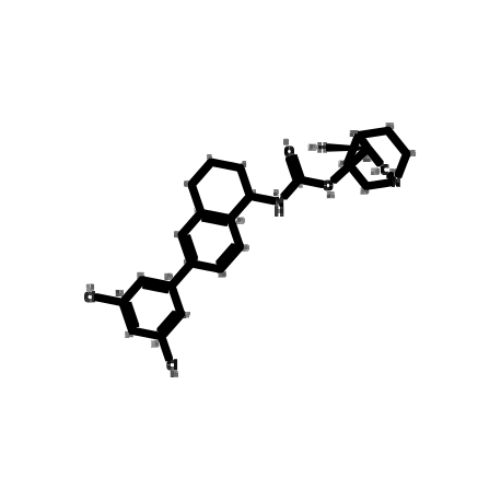 O=C(NC1CCCc2cc(-c3cc(Cl)cc(Cl)c3)ccc21)O[C@H]1CN2CCC1CC2